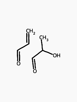 C=CC=O.CC(O)C=O